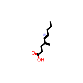 C=C(/C=C/CCC)CCC(=O)O